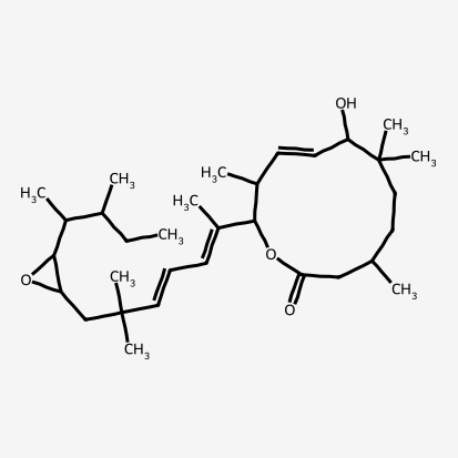 CCC(C)C(C)C1OC1CC(C)(C)/C=C/C=C(\C)C1OC(=O)CC(C)CCC(C)(C)C(O)/C=C/C1C